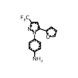 Nc1ccc(-n2nc(C(F)(F)F)cc2-c2ccco2)cc1